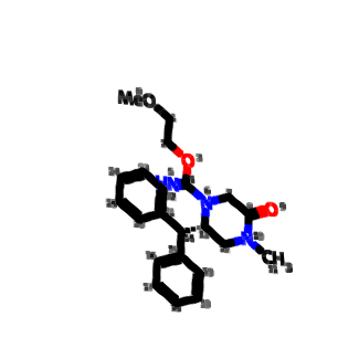 COCCOC(=N)N1CC(=O)N(C)C[C@@H]1C(c1ccccc1)c1ccccc1